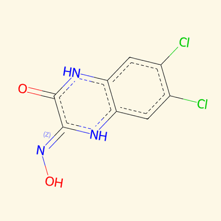 O=c1[nH]c2cc(Cl)c(Cl)cc2[nH]/c1=N\O